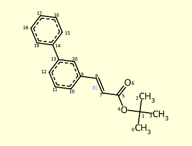 CC(C)(C)OC(=O)/C=C/c1cccc(-c2ccccc2)c1